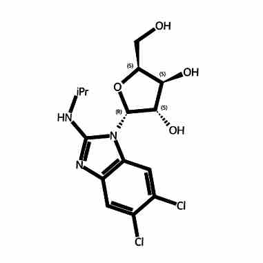 CC(C)Nc1nc2cc(Cl)c(Cl)cc2n1[C@@H]1O[C@@H](CO)[C@@H](O)[C@@H]1O